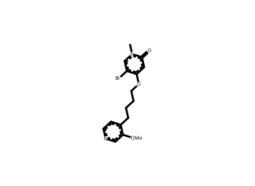 COc1cnccc1CCCCOc1cc(=O)n(C)cc1Br